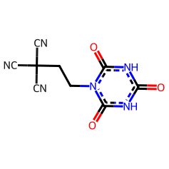 N#CC(C#N)(C#N)CCn1c(=O)[nH]c(=O)[nH]c1=O